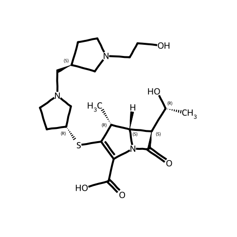 C[C@@H](O)[C@H]1C(=O)N2C(C(=O)O)=C(S[C@@H]3CCN(C[C@H]4CCN(CCO)C4)C3)[C@H](C)[C@H]12